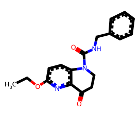 CCOc1ccc2c(n1)C(=O)CCN2C(=O)NCc1ccccc1